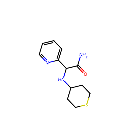 NC(=O)C(NC1CCSCC1)c1ccccn1